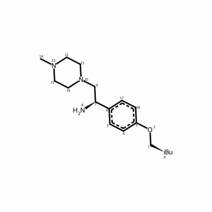 CC[C@H](C)COc1ccc([C@@H](N)CN2CCN(C)CC2)cc1